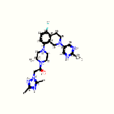 Cc1nc(C)n(CC(=O)N2CCN(c3ccc(F)c4c3CN(c3cnc(C(F)(F)F)nc3)CC4)C[C@H]2C)n1